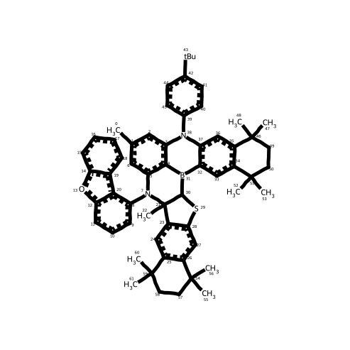 Cc1cc2c3c(c1)N(c1cccc4oc5ccccc5c14)C1(C)c4cc5c(cc4SC1B3c1cc3c(cc1N2c1ccc(C(C)(C)C)cc1)C(C)(C)CCC3(C)C)C(C)(C)CCC5(C)C